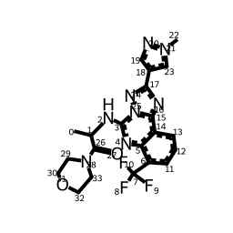 CC(Nc1nc2c(C(F)(F)F)cccc2c2nc(-c3cnn(C)c3)nn12)C(=O)N1CCOCC1